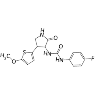 COc1ccc(C2CNC(=O)C2NC(=O)Nc2ccc(F)cc2)s1